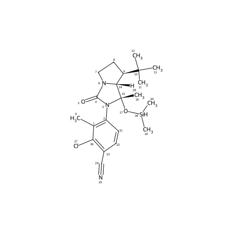 Cc1c(N2C(=O)N3CC[C@@H](C(C)(C)C)[C@@H]3[C@]2(C)O[SiH](C)C)ccc(C#N)c1Cl